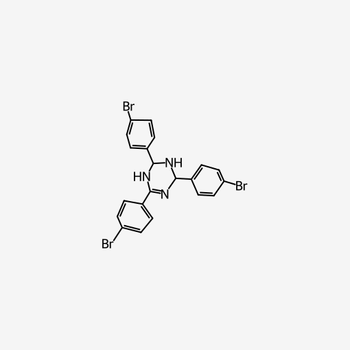 Brc1ccc(C2=NC(c3ccc(Br)cc3)NC(c3ccc(Br)cc3)N2)cc1